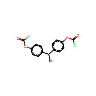 CCC(c1ccc(OC(=O)Cl)cc1)c1ccc(OC(=O)Cl)cc1